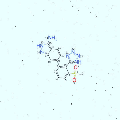 CS(=O)(=O)c1cccc(-c2ccc3c(N)[nH]nc3c2)c1-c1nnn[nH]1